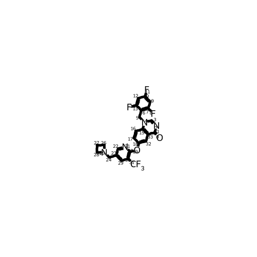 O=c1ncn(Cc2c(F)cc(F)cc2F)c2ccc(Oc3ncc(CN4CCC4)cc3C(F)(F)F)cc12